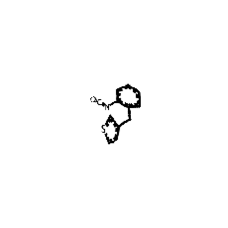 O=C=Nc1ccccc1Cc1ccsc1